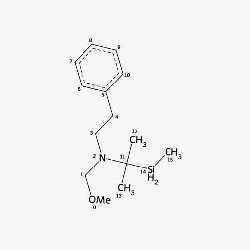 COCN(CCc1ccccc1)C(C)(C)[SiH2]C